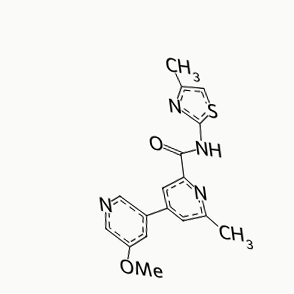 COc1cncc(-c2cc(C)nc(C(=O)Nc3nc(C)cs3)c2)c1